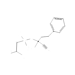 CC(C#N)(CCc1ccccc1)O[Si](C)(C)CC(Cl)Cl